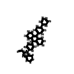 C=Cc1nc2ccccc2n1-c1ccc(-c2c3ccccc3c(-c3ccc(-c4ccccc4)cc3)c3ccccc23)cc1